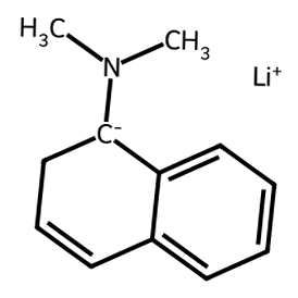 CN(C)[C-]1CC=Cc2ccccc21.[Li+]